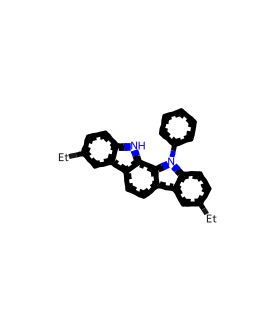 CCc1ccc2[nH]c3c(ccc4c5cc(CC)ccc5n(-c5ccccc5)c43)c2c1